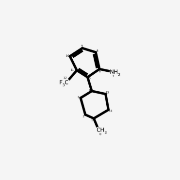 CC1CCC(c2c(N)cccc2C(F)(F)F)CC1